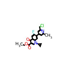 CCOC(=O)c1cn(C2CC2)c2cc(-c3cc(C)nc(CCl)c3)c(F)cc2c1=O